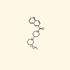 C[C@H]1CCCN(C2CCN(C(=O)c3ccc4ncccc4c3)CC2)C1